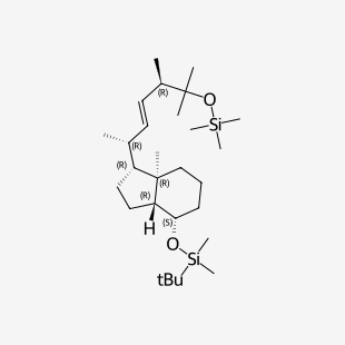 C[C@H](C=C[C@@H](C)C(C)(C)O[Si](C)(C)C)[C@H]1CC[C@H]2[C@@H](O[Si](C)(C)C(C)(C)C)CCC[C@]12C